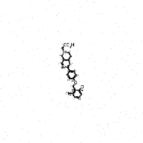 O=C(O)CN1CCc2nc(-c3ccc(OCc4c(Cl)cccc4Cl)cc3)ncc2C1